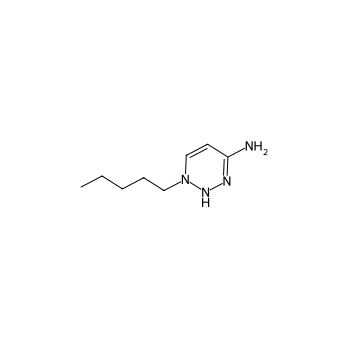 CCCCCN1C=CC(N)=NN1